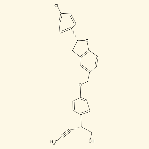 CC#C[C@@H](CO)c1ccc(OCc2ccc3c(c2)C[C@H](c2ccc(Cl)cc2)O3)cc1